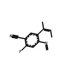 C=Nc1cc(F)c(C#N)cc1/C(C)=C\C